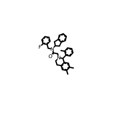 Cc1cc2c(cc1C)C(c1ccccc1C)N(CC(=O)N(Cc1ccccc1F)C1Cc3ccccc3C1)CC2